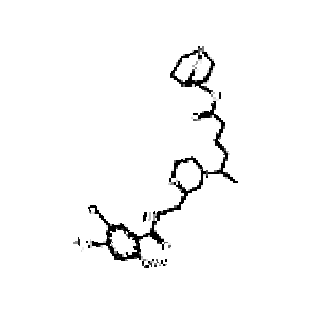 COc1cc(N)c(Cl)cc1C(=O)NCC1CN(C(C)CCCC(=O)OC2CN3CCC2CC3)CCO1